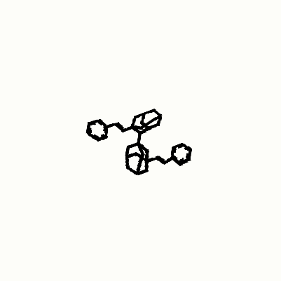 C(=C\C12CC3CC(C1)CC(C1C4CC5CC(C4)CC1(/C=C/c1ccccc1)C5)(C3)C2)/c1ccccc1